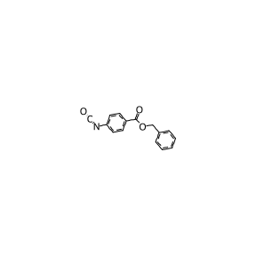 O=C=Nc1ccc(C(=O)OCc2ccccc2)cc1